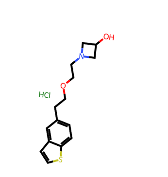 Cl.OC1CN(CCOCCc2ccc3sccc3c2)C1